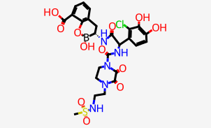 CS(=O)(=O)NCCN1CCN(C(=O)NC(C(=O)N[C@H]2Cc3cccc(C(=O)O)c3OB2O)c2ccc(O)c(O)c2Cl)C(=O)C1=O